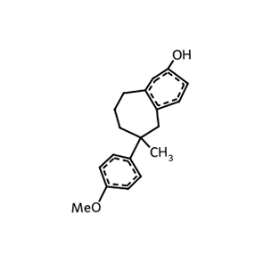 COc1ccc(C2(C)CCCc3cc(O)ccc3C2)cc1